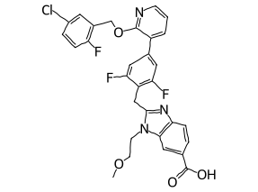 COCCn1c(Cc2c(F)cc(-c3cccnc3OCc3cc(Cl)ccc3F)cc2F)nc2ccc(C(=O)O)cc21